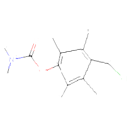 Cc1c(C)c(OC(=O)N(C)C)c(C)c(C)c1CCl